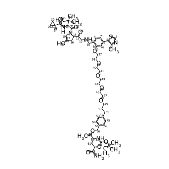 Cc1ncsc1-c1ccc(CNCC(=O)C2C[C@@H](O)CN2C(=O)[C@@H](NC(=O)C2(F)CC2)C(C)(C)C)c(OCCOCCOCCOCCOCCCc2ccc(CO[C@H](C)[C@H](CCC(N)=O)NC(=O)OC(C)(C)C)cc2)c1